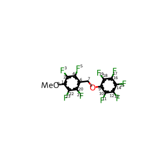 COc1c(F)c(F)c(COc2c(F)c(F)c(F)c(F)c2F)c(F)c1F